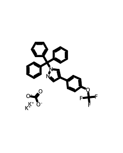 FC(F)(F)Oc1ccc(-c2cnn(C(c3ccccc3)(c3ccccc3)c3ccccc3)c2)cc1.O=C([O-])[O-].[K+].[K+]